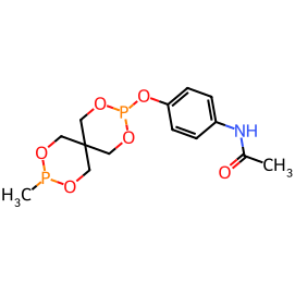 CC(=O)Nc1ccc(OP2OCC3(COP(C)OC3)CO2)cc1